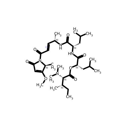 CC[C@H](C)[C@@H](C(=O)O[C@@H](CC(C)C)C(=O)N[C@@H](CC(C)C)C(=O)N[C@@H](C)/C=C/C(=O)N1C(=O)C=C(OC)[C@@H]1C)N(C)C